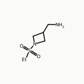 CCS(=O)(=O)N1CC(CN)C1